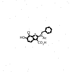 CC(=O)N(Cc1ccccc1)c1sc2c(Cl)c(O)ccc2c1C(=O)O